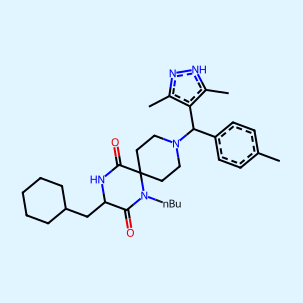 CCCCN1C(=O)C(CC2CCCCC2)NC(=O)C12CCN(C(c1ccc(C)cc1)c1c(C)n[nH]c1C)CC2